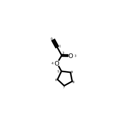 C#CC(=O)OC1CCCC1